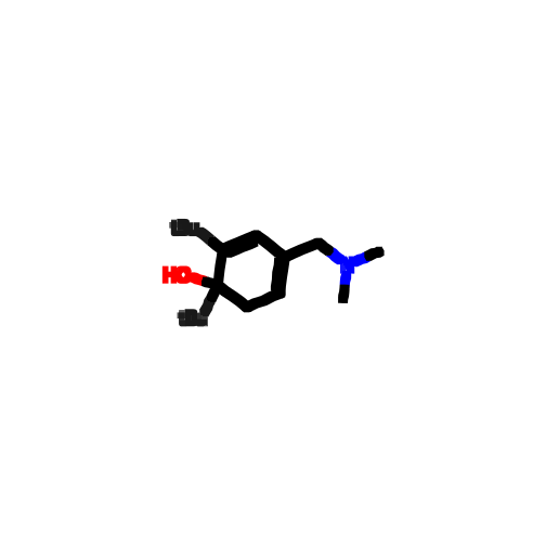 CN(C)CC1=CCC(O)(C(C)(C)C)C(C(C)(C)C)=C1